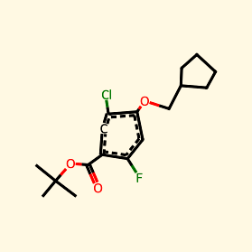 CC(C)(C)OC(=O)c1cc(Cl)c(OCC2CCCC2)cc1F